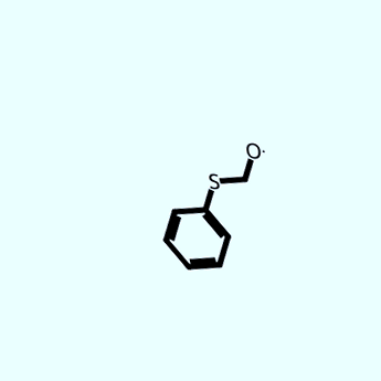 [O]CSc1ccccc1